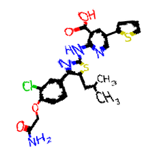 CC(C)Cc1sc(Nc2ncc(-c3cccs3)cc2C(=O)O)nc1-c1ccc(OCC(N)=O)c(Cl)c1